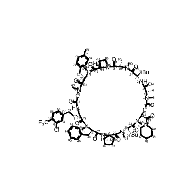 CC[C@H](C)[C@@H]1NC(=O)[C@H](C)N(C)C(=O)C[C@@H](C(=O)N2CCCCC2)N(C)C(=O)[C@H]([C@@H](C)CC)N(C)C(=O)C2(CCCC2)NC(=O)[C@@H](Cc2ccccc2)N(C)C(=O)[C@H](CCc2ccc(C(F)(F)F)c(Cl)c2)NC(=O)CN(C)C(=O)[C@H](Cc2ccc(C)cc2)N(C)C(=O)[C@@H]2CCN2C(=O)[C@H](C)N(C)C1=O